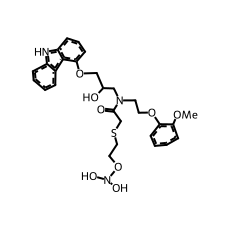 COc1ccccc1OCCN(CC(O)COc1cccc2[nH]c3ccccc3c12)C(=O)CSCCON(O)O